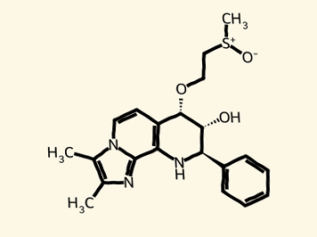 Cc1nc2c3c(ccn2c1C)[C@H](OCC[S+](C)[O-])[C@H](O)[C@@H](c1ccccc1)N3